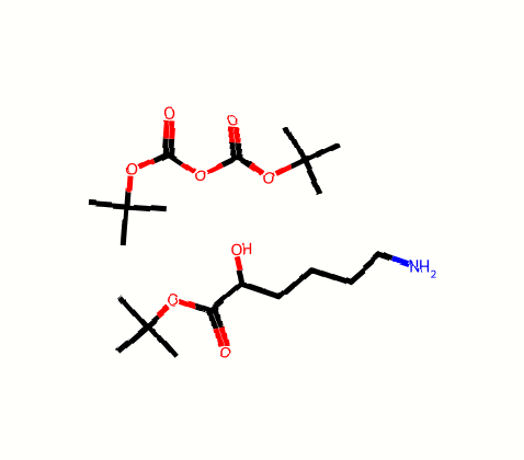 CC(C)(C)OC(=O)C(O)CCCCN.CC(C)(C)OC(=O)OC(=O)OC(C)(C)C